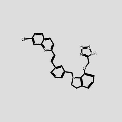 Clc1ccc2ccc(C=Cc3cccc(CN4CCc5cccc(OCc6nnn[nH]6)c54)c3)nc2c1